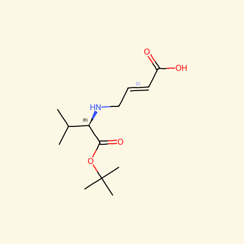 CC(C)[C@@H](NC/C=C/C(=O)O)C(=O)OC(C)(C)C